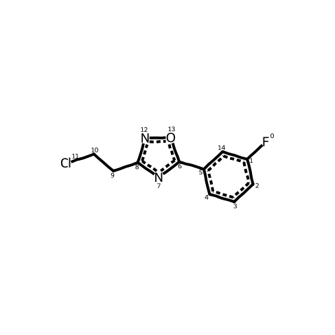 Fc1cccc(-c2nc(CCCl)no2)c1